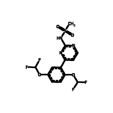 CS(=O)(=O)Nc1nccc(-c2cc(OC(F)F)ccc2OC(F)F)n1